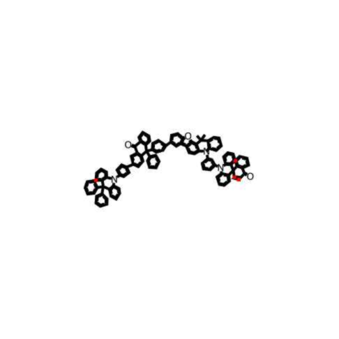 CC1(C)c2ccccc2N(c2cccc(N3c4ccccc4C4(c5ccccc5C(=O)c5ccccc54)c4ccccc43)c2)c2ccc3c(oc4ccc(-c5ccc(C6(c7ccccc7)c7ccccc7C(=O)c7cc(-c8ccc(N9c%10ccccc%10C(c%10ccccc%10)(c%10ccccc%10)c%10ccccc%109)cc8)ccc76)cc5)cc43)c21